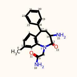 Cc1ccc2c(c1)N(CC(N)=O)C(=O)C(N)CC2c1ccccc1